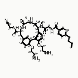 CCCCc1ccc(C(=O)NCC(=O)N(C)[C@@H]2C(=O)N[C@@H](C)C(=O)N[C@H](C(=O)NCC#N)Cc3ccc(OCCN)c(c3)-c3cc2ccc3OCCN)cn1